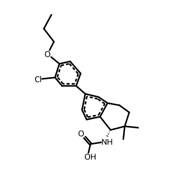 CCCOc1ccc(-c2ccc3c(c2)CCC(C)(C)[C@@H]3NC(=O)O)cc1Cl